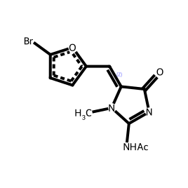 CC(=O)NC1=NC(=O)/C(=C/c2ccc(Br)o2)N1C